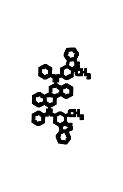 CC1CC(N(c2ccccc2)c2cc3c4ccccc4c(N(C4=CC5c6ccccc6SC5(C)C=C4)c4ccccc4)cc3c3ccccc23)=Cc2c1sc1ccccc21